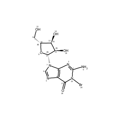 Nc1nc2c(ncn2[C@@H]2O[C@H](CO)[C@@H](O)[C@H]2O)c(=O)n1Br